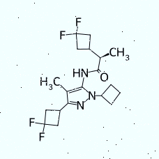 Cc1c(C2CC(F)(F)C2)nn(C2CCC2)c1NC(=O)[C@H](C)C1CC(F)(F)C1